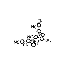 N#Cc1ccc(-c2ccc3c(c2)c2ccccc2n3-c2cc(-c3ccc(C(F)(F)F)cc3C(F)(F)F)c(-n3c4ccccc4c4cc(-c5ccc(C#N)cc5C#N)ccc43)cc2C#N)c(C#N)c1